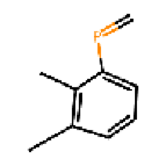 C=Pc1cccc(C)c1C